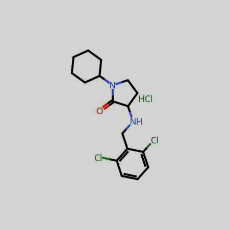 Cl.O=C1C(NCc2c(Cl)cccc2Cl)CCN1C1CCCCC1